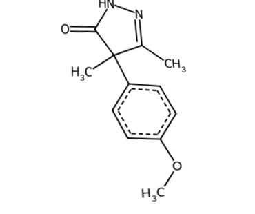 COc1ccc(C2(C)C(=O)NN=C2C)cc1